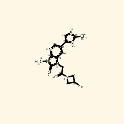 Cn1c(=O)n(CC(=O)N2CC(F)C2)c2cc(-c3csc(C(F)(F)F)n3)cnc21